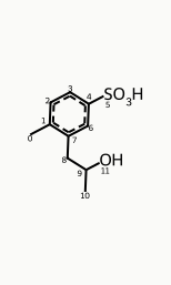 Cc1ccc(S(=O)(=O)O)cc1CC(C)O